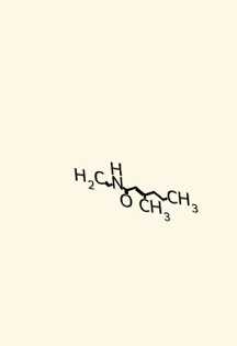 C=CNC(=O)/C=C(\C)CCC